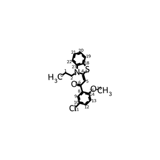 CCCN1C(=CC(=O)c2cc(Cl)ccc2OC)Sc2ccccc21